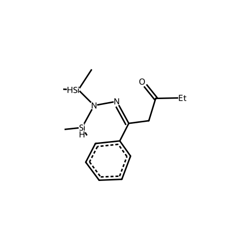 CCC(=O)CC(=NN([SiH](C)C)[SiH](C)C)c1ccccc1